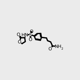 NC(=O)CCCc1ccc(S(=O)(=O)N[C@H]2CCOC2=O)cc1